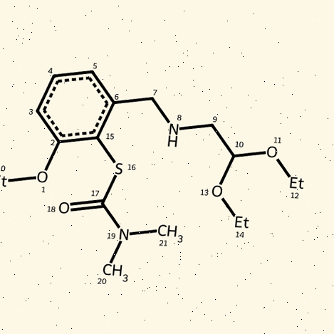 CCOc1cccc(CNCC(OCC)OCC)c1SC(=O)N(C)C